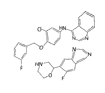 Fc1cc2cncnc2cc1C1CNCCO1.Fc1cccc(COc2ccc(Nc3ncnc4ccccc34)cc2Cl)c1